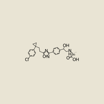 C[C@@H](NCC(O)c1ccc(-c2noc(CCC3(c4ccc(Cl)cc4)CC3)n2)cc1)C(=O)O